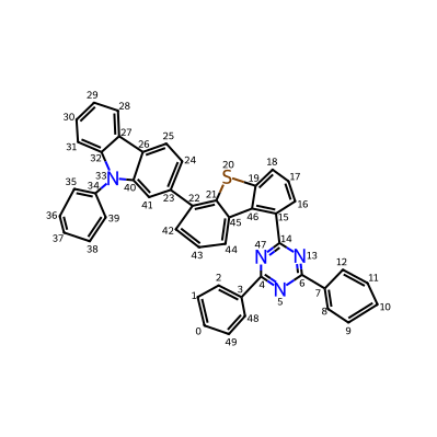 c1ccc(-c2nc(-c3ccccc3)nc(-c3cccc4sc5c(-c6ccc7c8ccccc8n(-c8ccccc8)c7c6)cccc5c34)n2)cc1